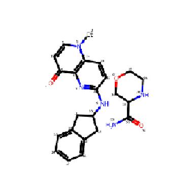 CCn1ccc(=O)c2nc(NC3Cc4ccccc4C3)ccc21.NC(=O)C1COCCN1